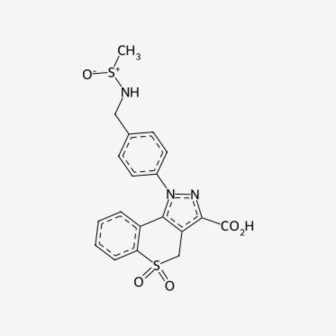 C[S+]([O-])NCc1ccc(-n2nc(C(=O)O)c3c2-c2ccccc2S(=O)(=O)C3)cc1